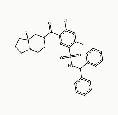 O=C(c1cc(S(=O)(=O)NC(c2ccccc2)c2ccccc2)c(F)cc1Cl)N1CCN2CCC[C@@H]2C1